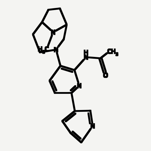 CC(=O)Nc1nc(-c2cccnc2)ccc1N1CCC2CCC(C1)N2C